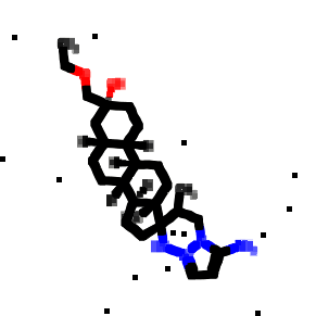 CCOC[C@@]1(O)CC[C@H]2[C@H](CC[C@@H]3[C@@H]2CC[C@@]2(C)[C@H]3CC[C@@]23N[n+]2ccc(N)n2CC3C)C1